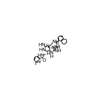 Cc1cccc(C(=O)NC[C@@H]2NC(=N)N3CC(NC(=O)c4cccc5c4CCCC5)[C@@H](O)[C@@]34NC(=N)N[C@@H]24)n1